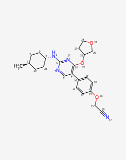 C[C@H]1CC[C@H](Nc2ncc(-c3ccc(OCC#N)cc3)c(OC3CCOC3)n2)CC1